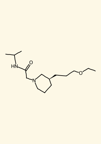 CCOCCC[C@H]1CCCN(CC(=O)NC(C)C)C1